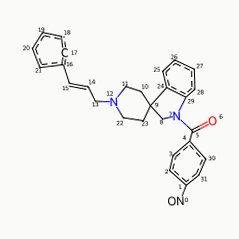 O=Nc1ccc(C(=O)N2CC3(CCN(C/C=C/c4ccccc4)CC3)c3ccccc32)cc1